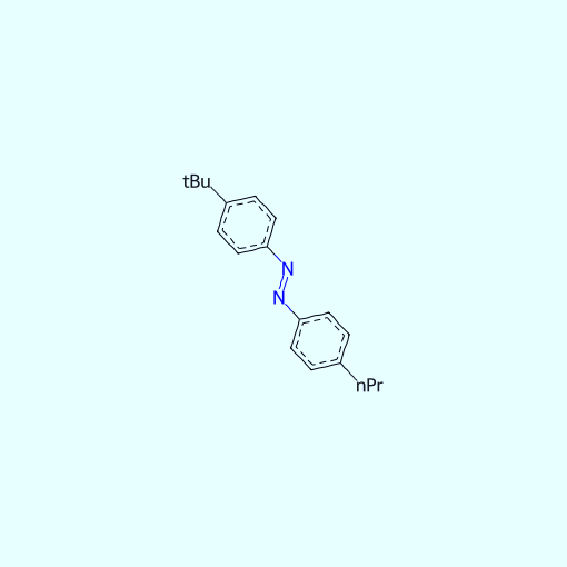 CCCc1ccc(/N=N/c2ccc(C(C)(C)C)cc2)cc1